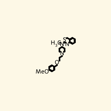 COc1ccc(COCCCN2CCC(N(C)C3=Nc4ccccc4CS3)CC2)cc1